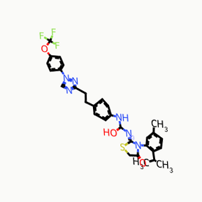 Cc1ccc(C(C)C)c(N2C(=O)CS/C2=N\C(O)Nc2ccc(CCc3ncn(-c4ccc(OC(F)(F)F)cc4)n3)cc2)c1